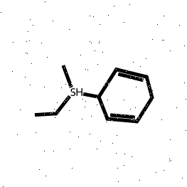 CC[SH](C)C1C=CCC=C1